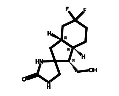 O=C1NCC2(C[C@@H]3CC(F)(F)CC[C@H]3[C@@H]2CO)N1